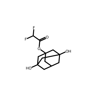 O=C(OC12CC3CC(O)(CC(O)(C3)C1)C2)C(F)F